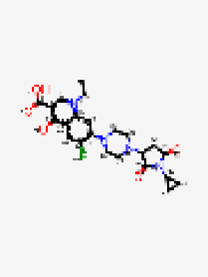 CCn1cc(C(=O)O)c(=O)c2cc(F)c(N3CCN(C4CC(=O)N(C5CC5)C4=O)CC3)cc21